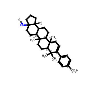 CCNC12CCC[C@@H]1C1CCC3C(C)(CCC4C(C)(C)C(c5ccc(C(=O)O)cc5)=CCC43C)C1CC2